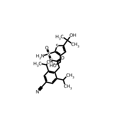 CC(C)c1cc(C#N)cc(C(C)C)c1CC(=O)N=S(N)(=O)c1sc(C(C)(C)O)cc1CO